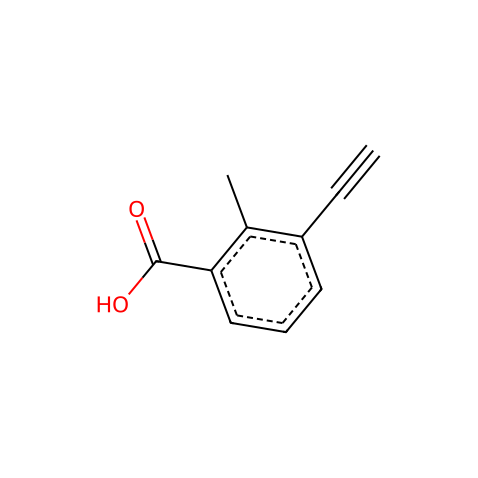 C#Cc1cccc(C(=O)O)c1C